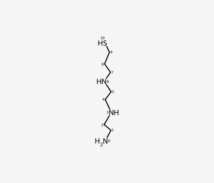 NCCNCCNCCCS